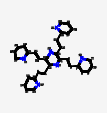 C(=Cc1nc(C=Cc2ccccn2)c(C=Cc2ccccn2)nc1C=Cc1ccccn1)c1ccccn1